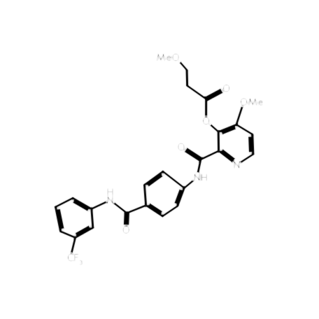 COCCC(=O)Oc1c(OC)ccnc1C(=O)Nc1ccc(C(=O)Nc2cccc(C(F)(F)F)c2)cc1